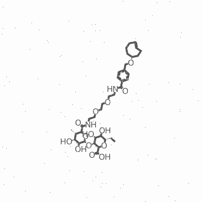 CC[C@@H]1OC(C(=O)O)[C@@H](O[C@@H]2OC(C(=O)NCCOCCOCCNC(=O)c3ccc(CO[C@H]4CC/C=C/CCC4)cc3)[C@@H](C)[C@@H](O)C2O)[C@@H](O)C1O